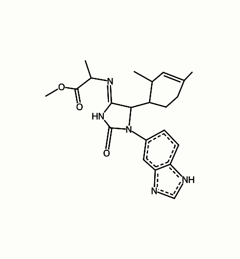 COC(=O)C(C)/N=C1\NC(=O)N(c2ccc3[nH]cnc3c2)C1C1CCC(C)=CC1C